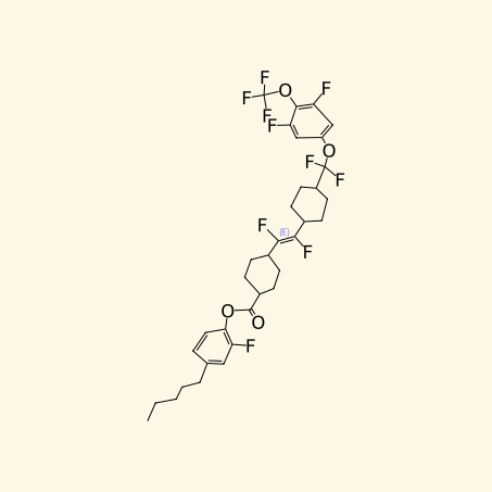 CCCCCc1ccc(OC(=O)C2CCC(/C(F)=C(\F)C3CCC(C(F)(F)Oc4cc(F)c(OC(F)(F)F)c(F)c4)CC3)CC2)c(F)c1